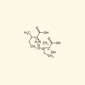 CCC(C)[C@H](N)C(=O)O.CC[C@@](C)(O)[C@@H](O)C(=O)O